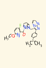 COc1ccc(F)c(C(=O)N2CCC3CCC2CN3Cc2c(-c3ccc(C(C)C)cc3)nc3ncccn23)n1